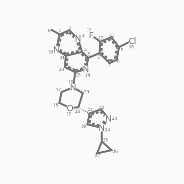 Cc1cnc2c(-c3ccc(Cl)cc3F)nc(N3CCO[C@@H](c4cnn(C5CC5)c4)C3)cc2n1